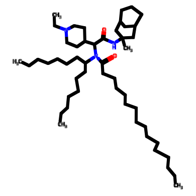 CCCCCCCCCCCCCCCC(=O)N(C(CCCCCCC)CCCCCCC)C(C(=O)NC1(C)CC2CCCC(C2)C1)C1CCN(CC)CC1